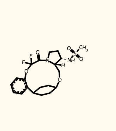 CS(=O)(=O)N[C@H]1CCN2C(=O)C(F)(F)Oc3ccccc3C3CCC(CC3)OC[C@@H]12